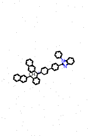 C=C(c1ccc2ccccc2c1)c1ccccc1/C(=C1/C=CC(c2ccc(-c3nc4ccccc4n3-c3ccccc3)cc2)=CC1)c1ccc2ccccc2c1